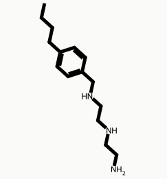 CCCCc1ccc(CNCCNCCN)cc1